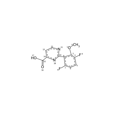 COc1c(F)ccc(F)c1-c1nccc(C(=O)O)n1